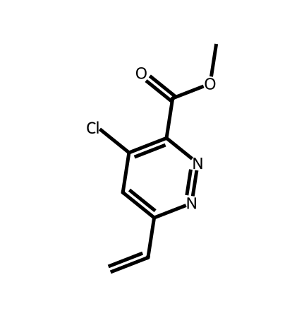 C=Cc1cc(Cl)c(C(=O)OC)nn1